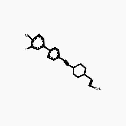 CC=CC1CCC(C#Cc2ccc(-c3ccc(Cl)c(F)c3)cc2)CC1